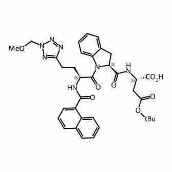 COCn1nnc(CC[C@H](NC(=O)c2cccc3ccccc23)C(=O)N2c3ccccc3C[C@H]2C(=O)N[C@@H](CC(=O)OC(C)(C)C)C(=O)O)n1